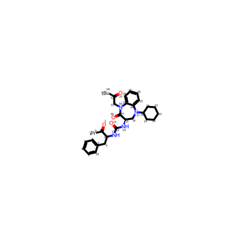 CC(C)C(=O)C(Cc1ccccc1)NC(=O)N[C@@H]1CN(C2CCCCC2)c2ccccc2N(CC(=O)C(C)(C)C)C1=O